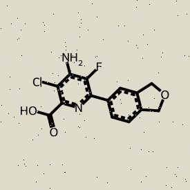 Nc1c(F)c(-c2ccc3c(c2)COC3)nc(C(=O)O)c1Cl